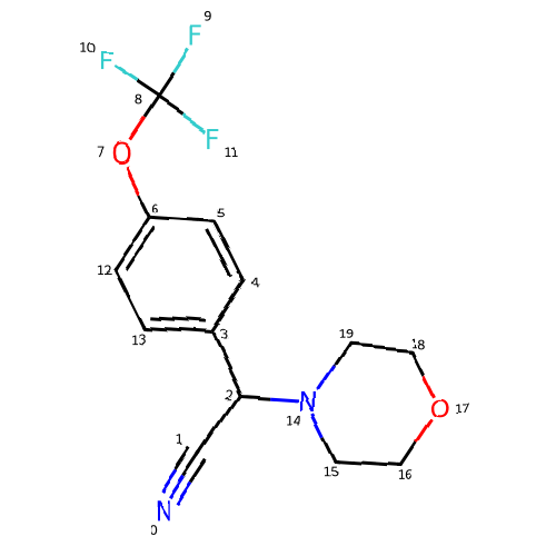 N#CC(c1ccc(OC(F)(F)F)cc1)N1CCOCC1